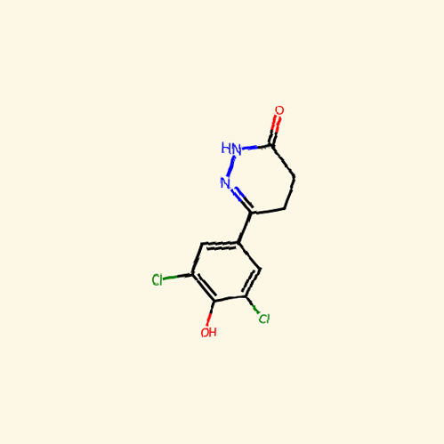 O=C1CCC(c2cc(Cl)c(O)c(Cl)c2)=NN1